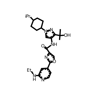 CCNc1cc(-c2nc(C(=O)Nc3cn(C4CCC(C(C)C)CC4)nc3C(C)(C)O)co2)ccn1